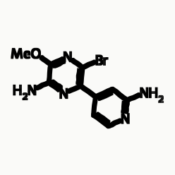 COc1nc(Br)c(-c2ccnc(N)c2)nc1N